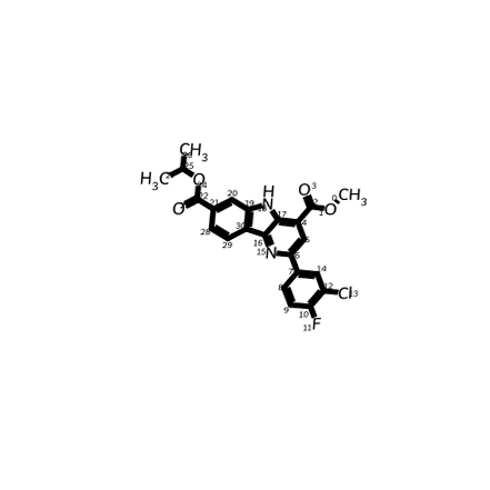 COC(=O)c1cc(-c2ccc(F)c(Cl)c2)nc2c1[nH]c1cc(C(=O)OC(C)C)ccc12